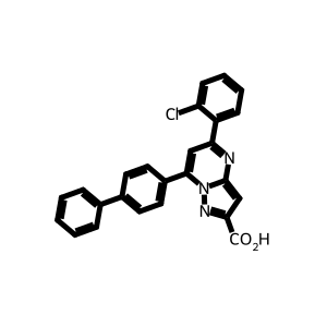 O=C(O)c1cc2nc(-c3ccccc3Cl)cc(-c3ccc(-c4ccccc4)cc3)n2n1